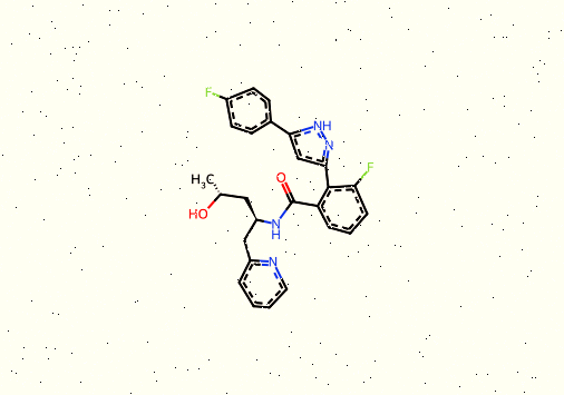 C[C@@H](O)C[C@H](Cc1ccccn1)NC(=O)c1cccc(F)c1-c1cc(-c2ccc(F)cc2)[nH]n1